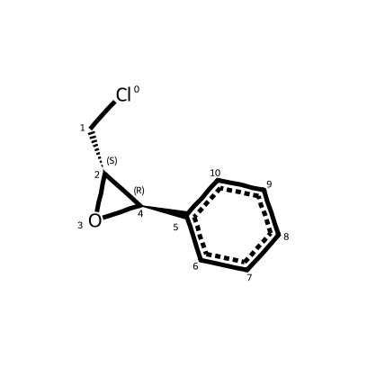 ClC[C@H]1O[C@@H]1c1ccccc1